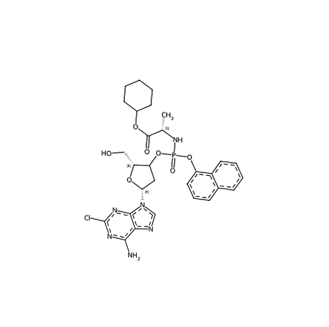 C[C@H](NP(=O)(Oc1cccc2ccccc12)OC1C[C@H](n2cnc3c(N)nc(Cl)nc32)O[C@@H]1CO)C(=O)OC1CCCCC1